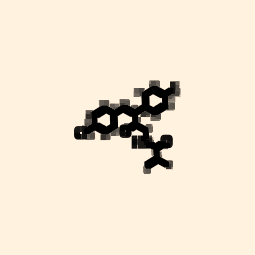 C=C(C)C(=O)NCC(=O)C(=Cc1ccc(Cl)cc1)c1ccc(F)cc1